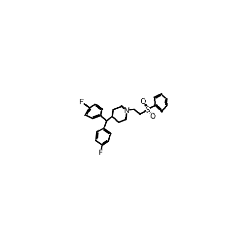 O=S(=O)(CCN1CCC(C(c2ccc(F)cc2)c2ccc(F)cc2)CC1)c1ccccc1